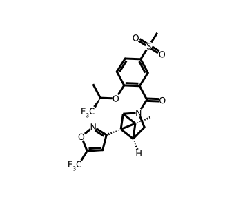 C[C@@H](Oc1ccc(S(C)(=O)=O)cc1C(=O)N1C[C@@H]2[C@]3(C)C1[C@]23c1cc(C(F)(F)F)on1)C(F)(F)F